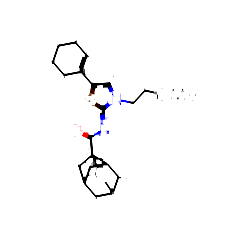 COCCn1cc(C2=CCCCC2)s/c1=N\C(=O)C12CC3CC(CC1C3)C2